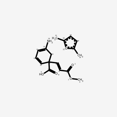 COC(=O)C=CC1(C(=O)O)C=CC=C(N)C1.Cc1ccc(C)o1